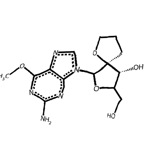 COc1nc(N)nc2c1ncn2C1OC(CO)[C@@H](O)[C@@]12CCCO2